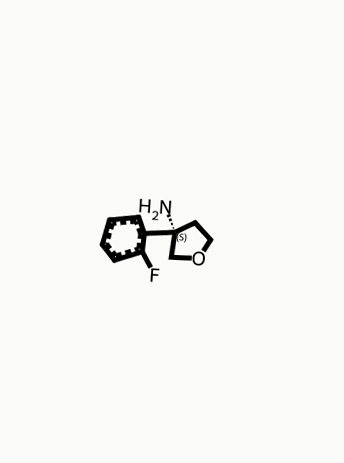 N[C@]1(c2ccccc2F)CCOC1